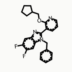 Fc1cc2nc(-c3cccnc3OCC3CCCC3)n(Cc3ccccc3)c2cc1F